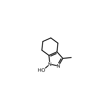 Cc1nn(O)c2c1CCCC2